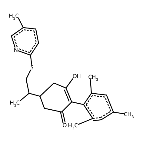 Cc1ccc(SCC(C)C2CC(=O)C(c3c(C)cc(C)cc3C)=C(O)C2)nc1